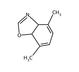 CC1=CC=C(C)C2OC=NC12